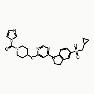 O=C(N1CCC(Oc2cc(N3CCc4cc(S(=O)(=O)CC5CC5)ccc43)ncn2)CC1)n1ccnc1